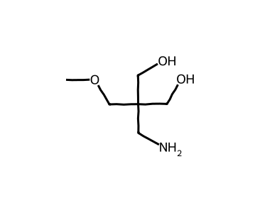 COCC(CN)(CO)CO